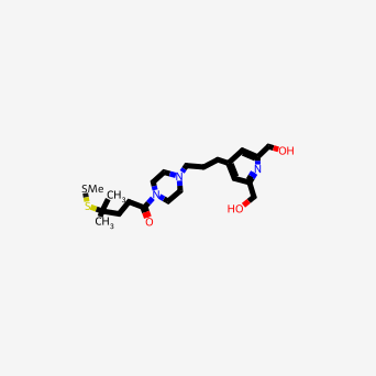 CSSC(C)(C)CCC(=O)N1CCN(CCCc2cc(CO)nc(CO)c2)CC1